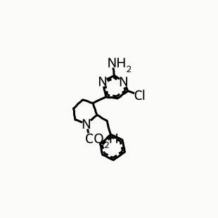 Nc1nc(Cl)cc(C2CCCN(C(=O)O)C2Cc2ccccc2)n1